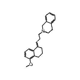 COc1cccc2c1CCC/C2=C\CCN1CCc2ccccc2C1